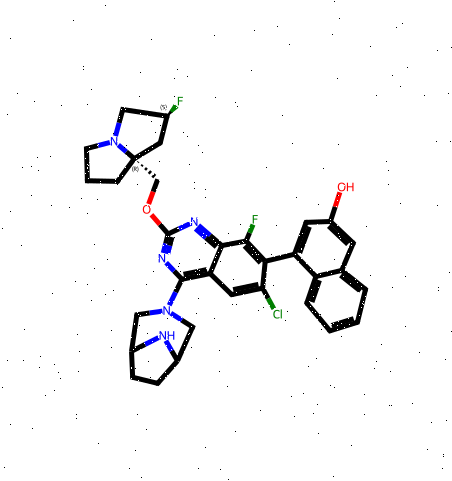 Oc1cc(-c2c(Cl)cc3c(N4CC5CCC(C4)N5)nc(OC[C@]45CCCN4C[C@@H](F)C5)nc3c2F)c2ccccc2c1